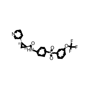 O=C(Nc1ccc(S(=O)(=O)c2cccc(OC(F)(F)F)c2)cc1)[C@H]1C[C@@H]1c1cccnc1